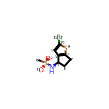 CS(=O)(=O)NC1CCc2sc(Br)cc21